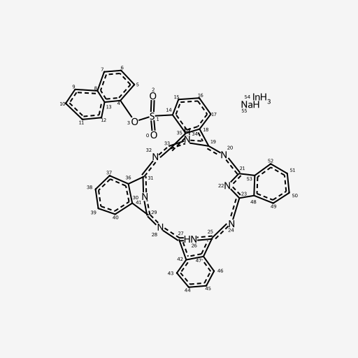 O=S(=O)(Oc1cccc2ccccc12)c1cccc2c3nc4nc(nc5[nH]c(nc6nc(nc([nH]3)c12)-c1ccccc1-6)c1ccccc51)-c1ccccc1-4.[InH3].[NaH]